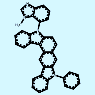 Cn1cnc2cccc(-n3c4ccccc4c4c5cc6c7ccccc7n(-c7ccccc7)c6cc5ccc43)c21